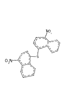 O=[N+]([O-])c1ccc(Sc2ccc([N+](=O)[O-])c3ccccc23)c2ccccc12